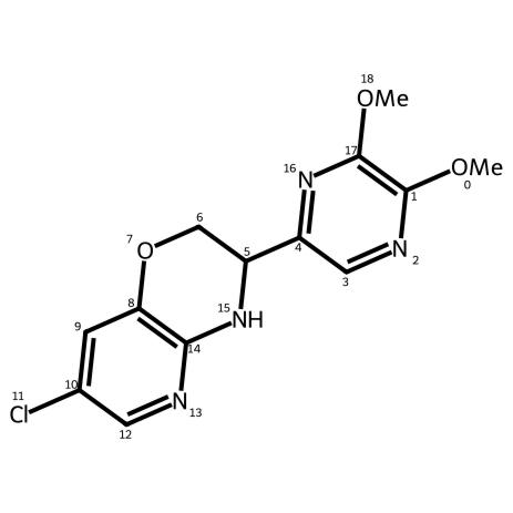 COc1ncc(C2COc3cc(Cl)cnc3N2)nc1OC